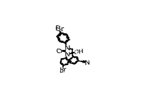 N#Cc1cccc(C2(O)CN(c3ccc(Br)cc3)C(=O)N2c2ccc(Br)cc2)c1